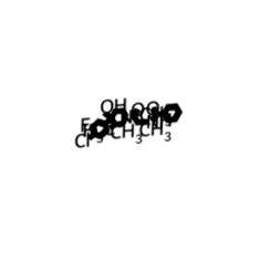 CC(C)(CC(=O)N1CCC(CO)(c2ccc(Cl)c(F)c2)C(C)(C)C1)NC(=O)c1ccccc1